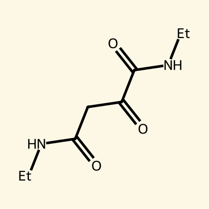 CCNC(=O)CC(=O)C(=O)NCC